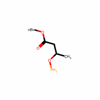 CCCCOC(=O)CC(C)OP